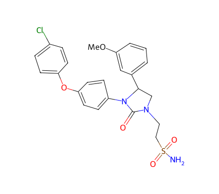 COc1cccc(C2CN(CCS(N)(=O)=O)C(=O)N2c2ccc(Oc3ccc(Cl)cc3)cc2)c1